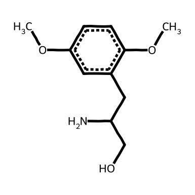 COc1ccc(OC)c(CC(N)CO)c1